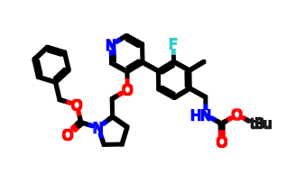 Cc1c(CNC(=O)OC(C)(C)C)ccc(-c2ccncc2OCC2CCCN2C(=O)OCc2ccccc2)c1F